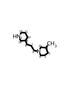 CC1CCCN(CCCC2CCCNC2)C1